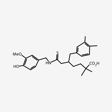 COc1cc(CNC(=S)CC(CCC(C)(C)C(=O)O)Cc2ccc(C)c(C)c2)ccc1O